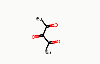 CCC(C)C(=O)C(=O)C(=O)C(C)CC